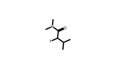 CC(C)C(F)C(=O)N(C)C